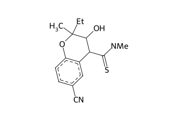 CCC1(C)Oc2ccc(C#N)cc2C(C(=S)NC)C1O